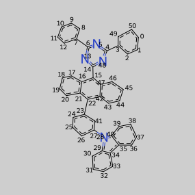 c1ccc(-c2nc(-c3ccccc3)nc(-c3c4ccccc4c(-c4cccc(-n5c6ccccc6c6ccccc65)c4)c4ccccc34)n2)cc1